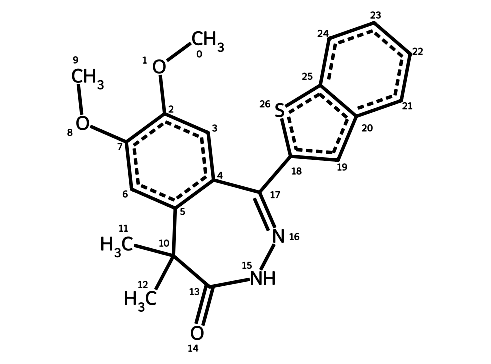 COc1cc2c(cc1OC)C(C)(C)C(=O)NN=C2c1cc2ccccc2s1